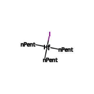 CCCC[CH2][Hf]([I])([CH2]CCCC)[CH2]CCCC